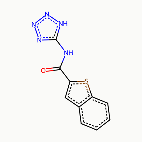 O=C(Nc1nnn[nH]1)c1cc2ccccc2s1